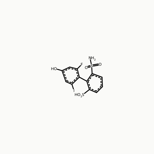 NS(=O)(=O)c1cccc(S(=O)(=O)O)c1-c1c(F)cc(O)cc1I